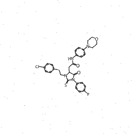 O=C(CC1C(=O)N(c2ccc(F)cc2)C(=S)N1CCc1ccc(Cl)cc1)Nc1ccc(N2CCOCC2)cc1